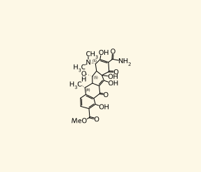 COC(=O)c1ccc2c(c1O)C(=O)C1=C(O)C3(O)C(=O)C(C(N)=O)=C(O)[C@@H](N(C)C)C3[C@@H](O)C1[C@H]2C